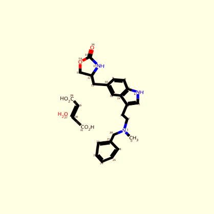 CN(CCc1c[nH]c2ccc(CC3COC(=O)N3)cc12)Cc1ccccc1.O.O=C(O)C=CC(=O)O